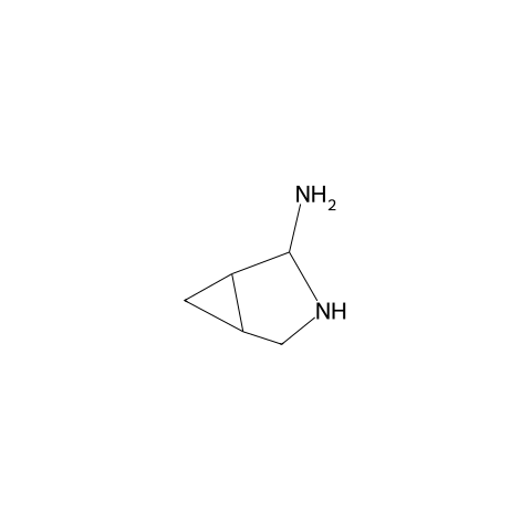 NC1NCC2CC21